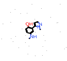 CNc1ccc(O)c(-c2ccnn2C)c1